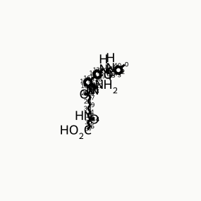 Cc1ccc(F)c(NC(=O)Nc2ccc(-c3cccc4c3c(N)nn4C(=O)CCCCCNC(=O)CCC(=O)O)cc2)c1